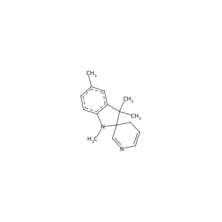 Cc1ccc2c(c1)C(C)(C)C1(C=NC=CC1)N2C